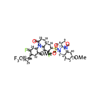 COc1ccc(CN(c2ccon2)S(=O)(=O)c2cc3ccc(=O)n(-c4cc(F)c([C@H]5C[C@@H]5C(F)(F)F)cc4OC)c3cc2F)cc1